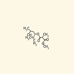 COC(=O)C(C)C(=O)OC(CC(C)C)C(C)C